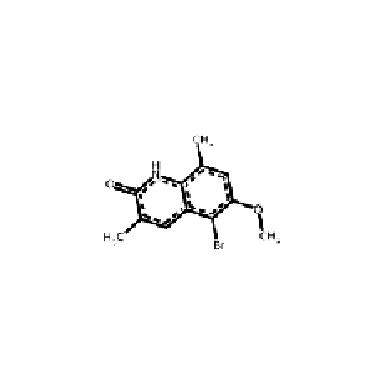 COc1cc(C)c2[nH]c(=O)c(C)cc2c1Br